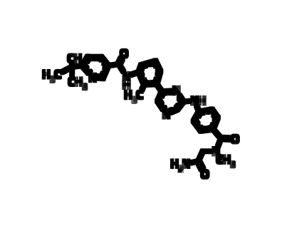 Cc1c(NC(=O)c2ccc(C(C)(C)C)nc2)cccc1-c1cncc(Nc2ccc(C(=O)N(C)CC(N)=O)cc2)n1